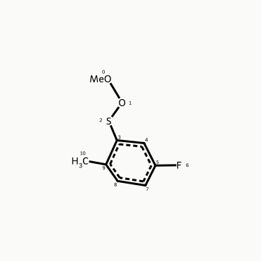 COOSc1cc(F)ccc1C